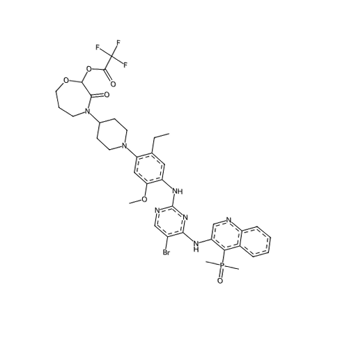 CCc1cc(Nc2ncc(Br)c(Nc3cnc4ccccc4c3P(C)(C)=O)n2)c(OC)cc1N1CCC(N2CCCOC(OC(=O)C(F)(F)F)C2=O)CC1